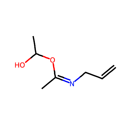 C=CCN=C(C)OC(C)O